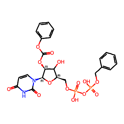 O=C(Oc1ccccc1)O[C@H]1C(O)[C@@H](COP(=O)(O)OP(=O)(O)OCc2ccccc2)O[C@H]1n1ccc(=O)[nH]c1=O